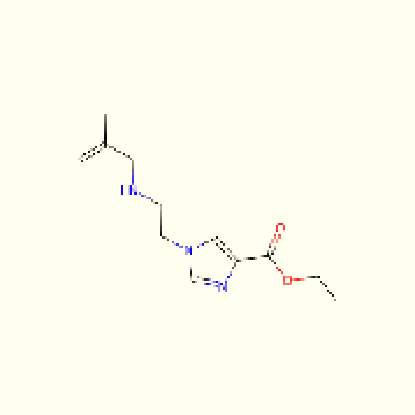 C=C(C)CNCCn1cnc(C(=O)OCC)c1